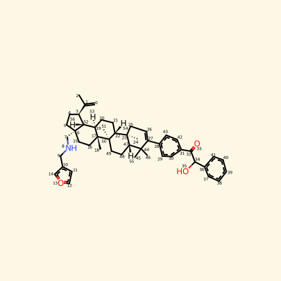 C=C(C)[C@@H]1CC[C@]2(CNCc3ccoc3)CC[C@]3(C)[C@H](CC[C@@H]4[C@@]5(C)CC=C(c6ccc(C(=O)C(O)c7ccccc7)cc6)C(C)(C)[C@@H]5CC[C@]43C)[C@@H]12